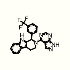 FC(F)(F)c1cccc(C2c3[nH]c4ccccc4c3CCN2c2ncnc3[nH]ncc23)c1